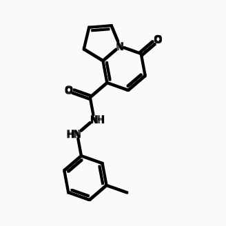 Cc1cccc(NNC(=O)c2ccc(=O)n3c2CC=C3)c1